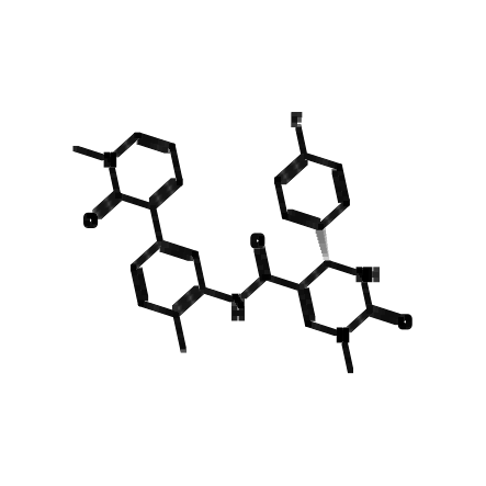 Cc1ccc(-c2cccn(C)c2=O)cc1NC(=O)C1=CN(C)C(=O)N[C@H]1c1ccc(F)cc1